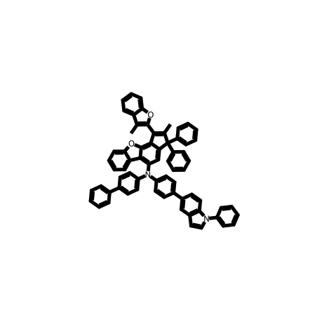 CC1=C(c2oc3ccccc3c2C)c2c(cc(N(c3ccc(-c4ccccc4)cc3)c3ccc(-c4ccc5c(ccn5-c5ccccc5)c4)cc3)c3c2oc2ccccc23)C1(c1ccccc1)c1ccccc1